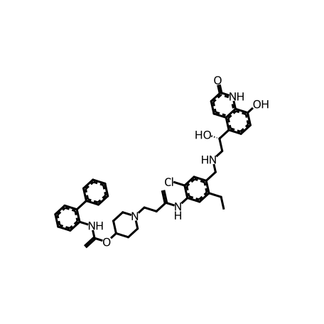 C=C(CCN1CCC(OC(=C)Nc2ccccc2-c2ccccc2)CC1)Nc1cc(CC)c(CNC[C@H](O)c2ccc(O)c3[nH]c(=O)ccc23)cc1Cl